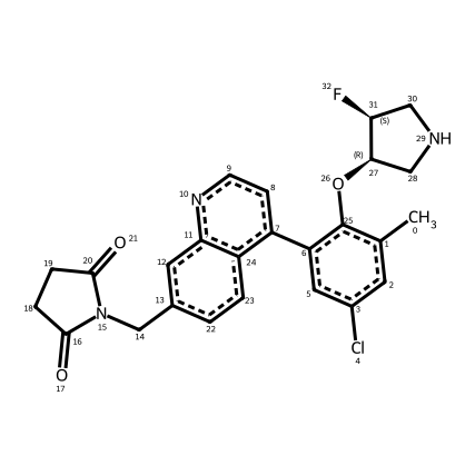 Cc1cc(Cl)cc(-c2ccnc3cc(CN4C(=O)CCC4=O)ccc23)c1O[C@@H]1CNC[C@@H]1F